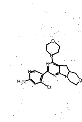 CCc1cc(N)ncc1-c1nc(N2CCOCC2)c2c(n1)N1CCOCC1C2